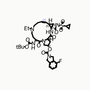 CCN1CC/C=C\[C@@H]2C[C@@]2(C(=O)NS(=O)(=O)C2CC2)NC(=O)[C@@H]2C[C@@H](OC(=O)N3Cc4cccc(F)c4C3)CN2C(=O)[C@@H](NC(=O)OC(C)(C)C)CC1